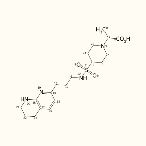 CC(C(=O)O)N1CCC(S(=O)(=O)NCCCc2ccc3c(n2)NCCC3)CC1